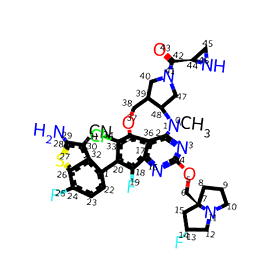 CN1c2nc(OC[C@@]34CCCN3C[C@H](F)C4)nc3c(F)c(-c4ccc(F)c5sc(N)c(C#N)c45)c(Cl)c(c23)OCC2CN(C(=O)[C@H]3CN3)CC21